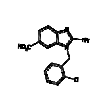 CCCc1nc2ccc(C(=O)O)cc2n1Cc1ccccc1Cl